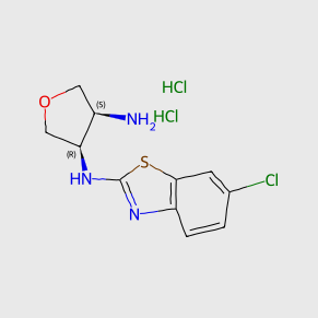 Cl.Cl.N[C@@H]1COC[C@@H]1Nc1nc2ccc(Cl)cc2s1